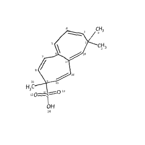 CC1(C)C=CC=C2C=CC(C)(S(=O)(=O)O)C=CC2=C1